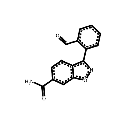 NC(=O)c1ccc2c(-c3ccccc3C=O)noc2c1